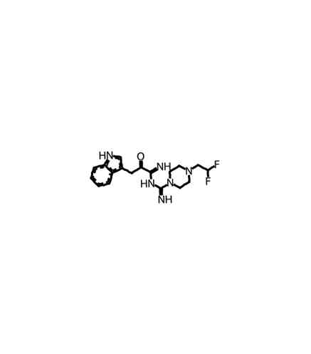 N=C(NC(=N)N1CCN(CC(F)F)CC1)C(=O)Cc1c[nH]c2ccccc12